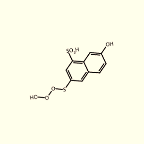 O=S(=O)(O)c1cc(SOOO)cc2ccc(O)cc12